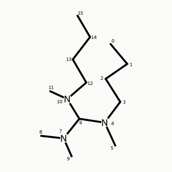 CCCCN(C)C(N(C)C)N(C)CCCC